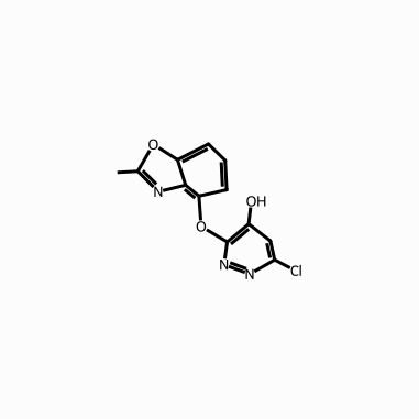 Cc1nc2c(Oc3nnc(Cl)cc3O)cccc2o1